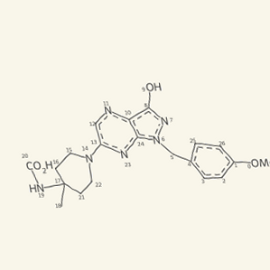 COc1ccc(Cn2nc(O)c3ncc(N4CCC(C)(NC(=O)O)CC4)nc32)cc1